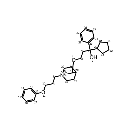 OC(CCOC1C[N+]2(CCCOc3ccccc3)CCC1CC2)(c1ccccc1)C1CCCC1